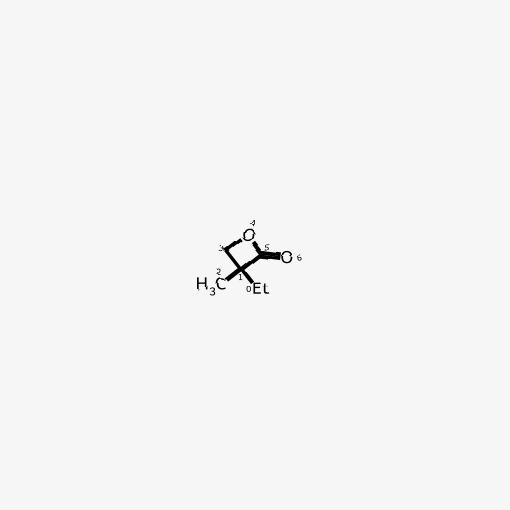 CCC1(C)COC1=O